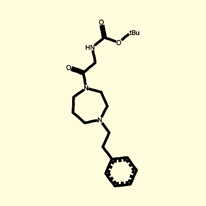 CC(C)(C)OC(=O)NCC(=O)N1CCCN(CCc2ccccc2)CC1